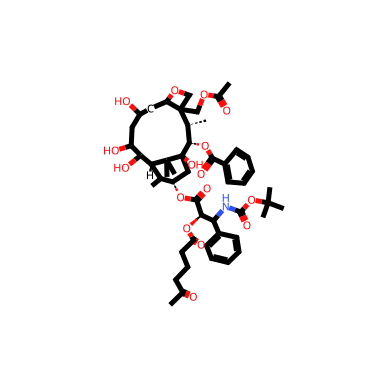 CC(=O)CCCC(=O)O[C@@H](C(=O)O[C@H]1CC2(O)[C@@H](OC(=O)c3ccccc3)[C@@H](C)C3(COC(C)=O)COC3CC(O)CC(O)C(O)[C@H](C1C)C2(C)C)C(NC(=O)OC(C)(C)C)c1ccccc1